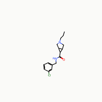 CCCN1CC2C(C1)C2C(=O)NCc1cccc(Cl)c1